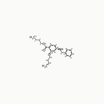 CCCCOC(=O)c1ccc(NCc2ccccc2)cc1OCCCC